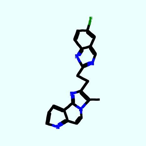 Cc1c(CCc2ncc3cc(F)ccc3n2)nc2c3cccnc3ccn12